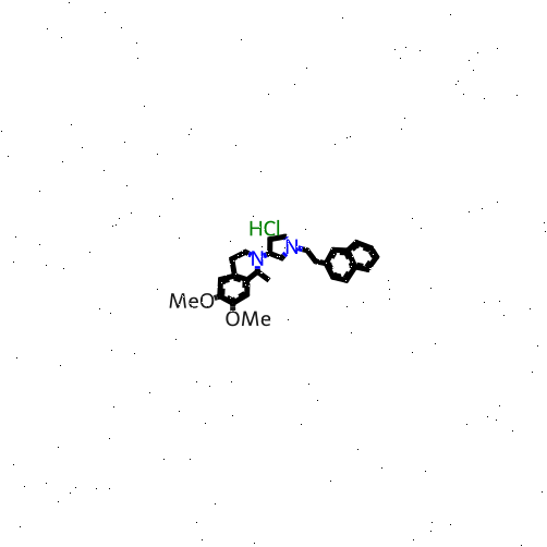 COc1cc2c(cc1OC)C(C)N(C1CCN(CCc3ccc4ccccc4c3)C1)CC2.Cl